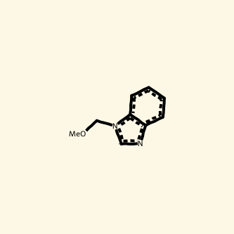 COCn1[c]nc2ccccc21